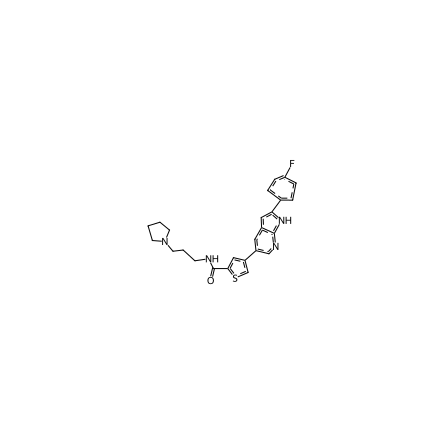 O=C(NCCCN1CCCC1)c1cc(-c2cnc3[nH]c(-c4ccc(F)cc4)cc3c2)cs1